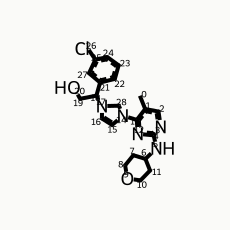 Cc1cnc(NC2CCOCC2)nc1N1C=CN(C(CO)c2cccc(Cl)c2)C1